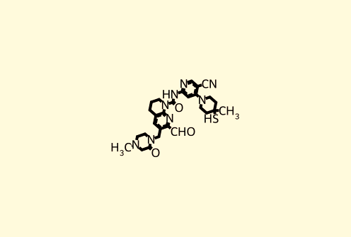 CN1CCN(Cc2cc3c(nc2C=O)N(C(=O)Nc2cc(N4CCC(C)(S)CC4)c(C#N)cn2)CCC3)C(=O)C1